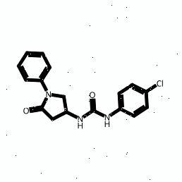 O=C(Nc1ccc(Cl)cc1)NC1CC(=O)N(c2ccccc2)C1